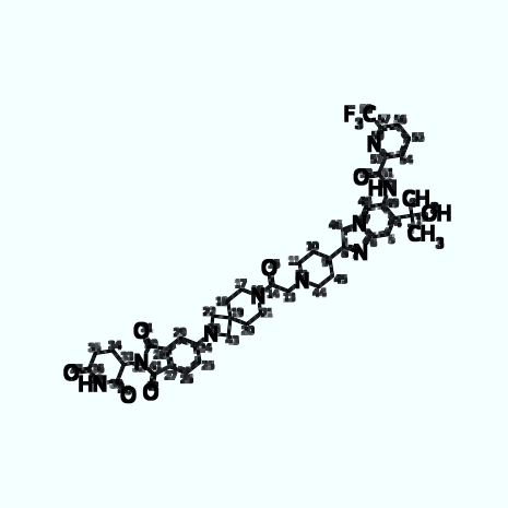 CC(C)(O)c1cc2nc(C3CCN(CC(=O)N4CCC5(CC4)CN(c4ccc6c(c4)C(=O)N(C4CCC(=O)NC4=O)C6=O)C5)CC3)cn2cc1NC(=O)c1cccc(C(F)(F)F)n1